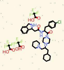 O=C(CC1NCc2ccccc21)NC(Cc1ccc(Cl)cc1)C(=O)N1CCN(C(CC2CCCCC2)CN2CCCCC2)CC1.O=C(O)C(F)(F)F.O=C(O)C(F)(F)F.O=C(O)C(F)(F)F